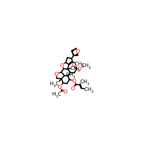 C/C=C(\C)C(=O)OC1CC(OC(C)=O)C2(C)COC3C4OC5CC(c6ccoc6)C(C)=C5C4(C)C(CC(=O)OC)C1(C)C32